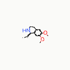 [CH2][C]=C1NCCc2cc(OC)c(OC)cc21